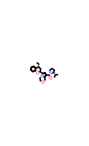 CC[C@@H](CC(=O)c1cc(C(=O)N2CCC[C@@H]2C(C)C)c2n1CCOC2)c1ccccc1